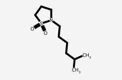 CC(C)CCCCN1CCCS1(=O)=O